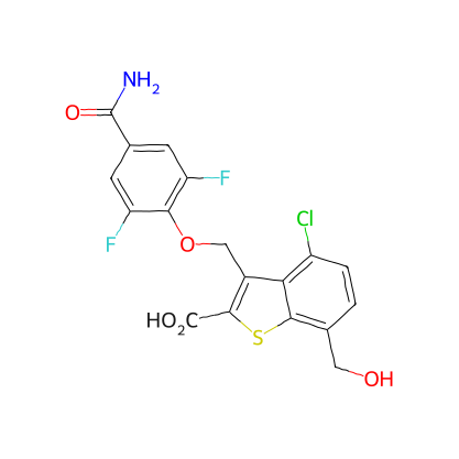 NC(=O)c1cc(F)c(OCc2c(C(=O)O)sc3c(CO)ccc(Cl)c23)c(F)c1